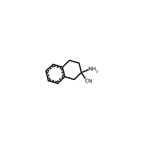 N#CC1(N)CCc2ccccc2C1